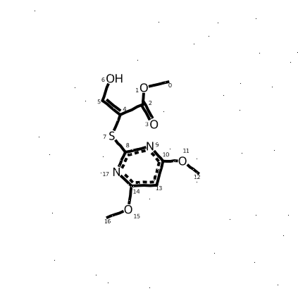 COC(=O)C(=CO)Sc1nc(OC)cc(OC)n1